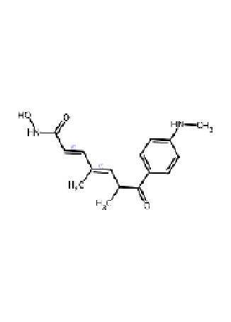 CNc1ccc(C(=O)C(C)/C=C(C)/C=C/C(=O)NO)cc1